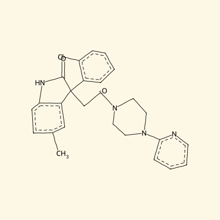 Cc1ccc2c(c1)C(CC(=O)N1CCN(c3ccccn3)CC1)(c1ccccc1Cl)C(=O)N2